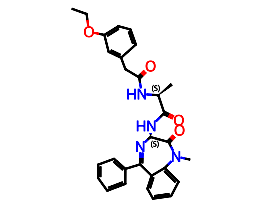 CCOc1cccc(CC(=O)N[C@@H](C)C(=O)N[C@H]2N=C(c3ccccc3)c3ccccc3N(C)C2=O)c1